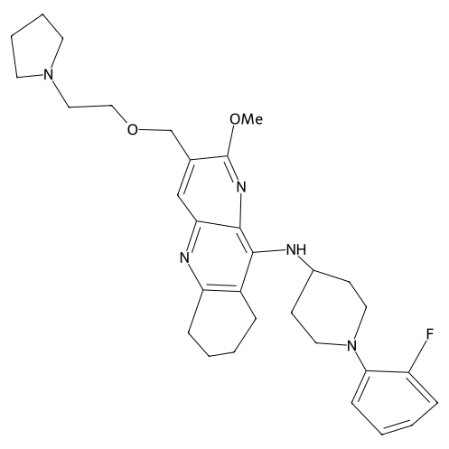 COc1nc2c(NC3CCN(c4ccccc4F)CC3)c3c(nc2cc1COCCN1CCCC1)CCCC3